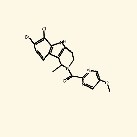 COc1cnc(C(=O)N2CCc3[nH]c4c(Cl)c(Br)ccc4c3C2C)nc1